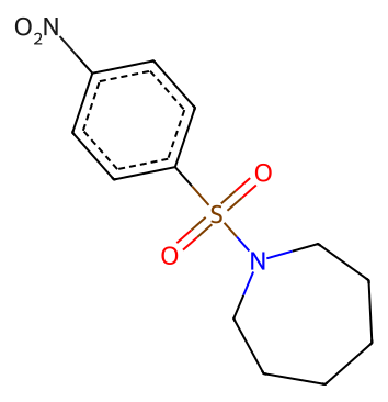 O=[N+]([O-])c1ccc(S(=O)(=O)N2CCCCCC2)cc1